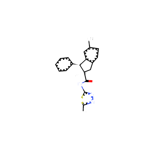 C[C@@]1(C(=O)Nc2nnc(C(F)(F)F)s2)Cc2ccc(C#N)cc2[C@@H]1c1ccccc1